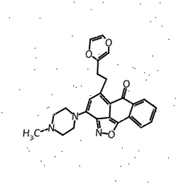 CN1CCN(c2cc(CCC3=COC=CO3)c3c4c(onc24)-c2ccccc2C3=O)CC1